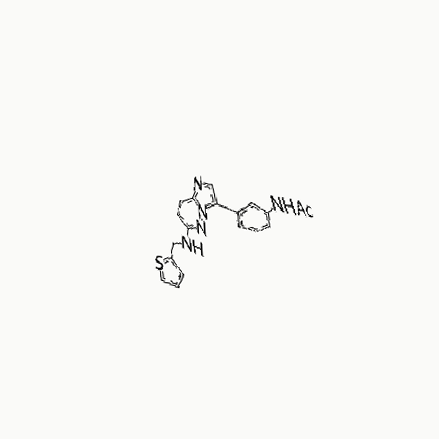 CC(=O)Nc1cccc(-c2cnc3ccc(NCc4cccs4)nn23)c1